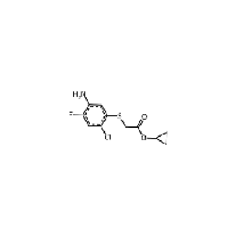 Nc1cc(SCC(=O)OC2CC2)c(Cl)cc1F